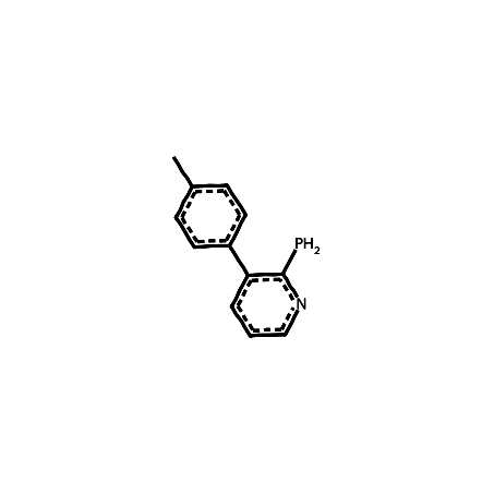 Cc1ccc(-c2cccnc2P)cc1